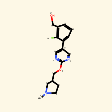 CC(=O)N1CCC(COc2ncc(-c3cccc(CO)c3F)cn2)C1